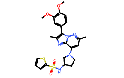 COc1ccc(-c2c(C)nc3c(N4CCC(NS(=O)(=O)c5cccs5)C4)cc(C)nn23)cc1OC